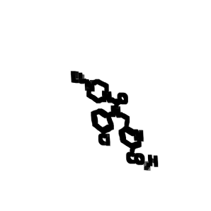 CCN1CCN(C(=O)N(Cc2ccc(C(=O)O)cn2)c2cccc(Cl)c2)CC1